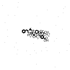 CC/C(=C\c1ccccc1)[C@@H]1C[C@H]1N(C[C@H]1CC[C@H](N(Cc2ccc(C(=O)O)cc2)C(=O)OC(C)(C)C)CC1)C(=O)OC(C)(C)C